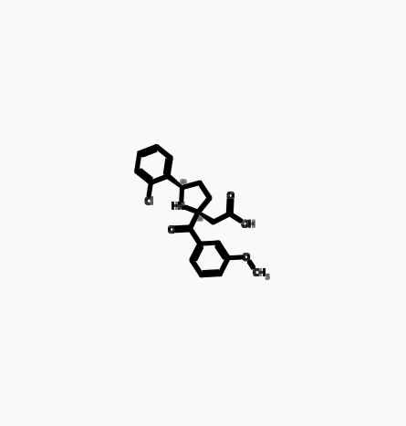 COc1cccc(C(=O)[C@@]2(CC(=O)O)CC[C@H](c3ccccc3Cl)N2)c1